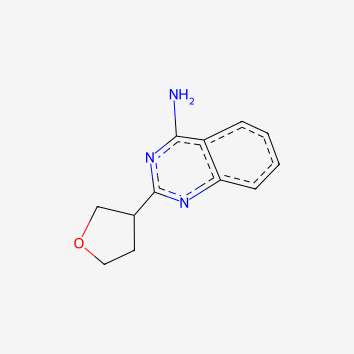 Nc1nc(C2CCOC2)nc2ccccc12